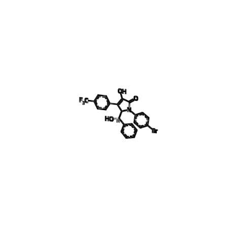 O=C1C(O)=C(c2ccc(C(F)(F)F)cc2)C([C@@H](O)c2ccccc2)N1c1ccc(Br)cc1